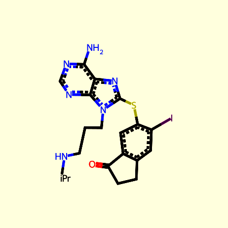 CC(C)NCCCn1c(Sc2cc3c(cc2I)CCC3=O)nc2c(N)ncnc21